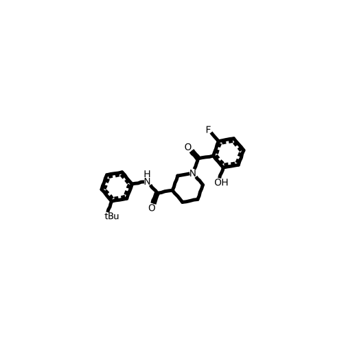 CC(C)(C)c1cccc(NC(=O)C2CCCN(C(=O)c3c(O)cccc3F)C2)c1